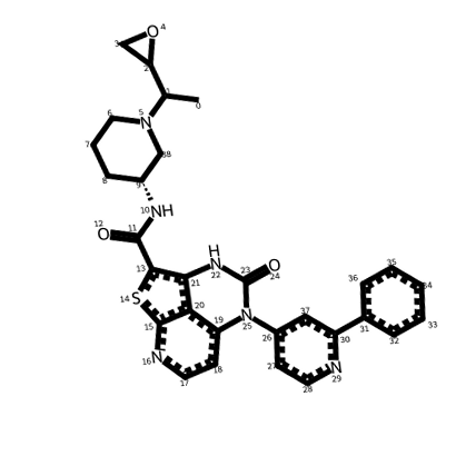 CC(C1CO1)N1CCC[C@@H](NC(=O)c2sc3nccc4c3c2NC(=O)N4c2ccnc(-c3ccccc3)c2)C1